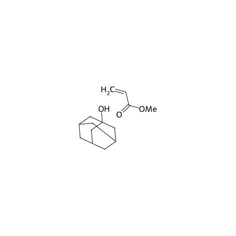 C=CC(=O)OC.OC12CC3CC(CC(C3)C1)C2